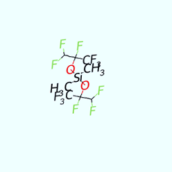 C[Si](C)(OC(F)(C(F)F)C(F)(F)F)OC(F)(C(F)F)C(F)(F)F